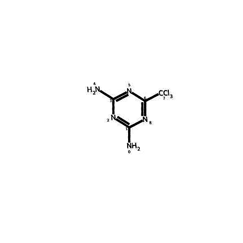 Nc1nc(N)nc(C(Cl)(Cl)Cl)n1